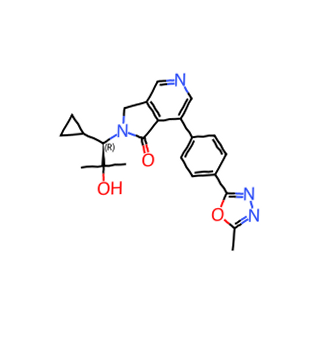 Cc1nnc(-c2ccc(-c3cncc4c3C(=O)N([C@H](C3CC3)C(C)(C)O)C4)cc2)o1